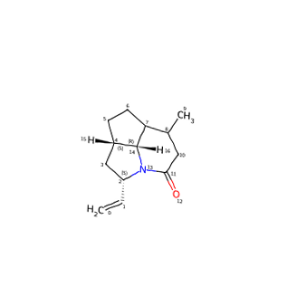 C=C[C@@H]1C[C@@H]2CCC3C(C)CC(=O)N1[C@@H]32